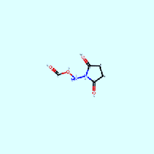 O=CONN1C(=O)CCC1=O